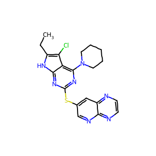 CCc1[nH]c2nc(Sc3cnc4nccnc4c3)nc(N3CCCCC3)c2c1Cl